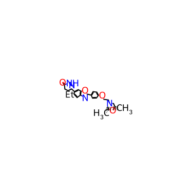 CCC1CC(=O)NN=C1c1ccc2nc(-c3ccc(OCCN4C[C@@H](C)O[C@@H](C)C4)cc3)oc2c1